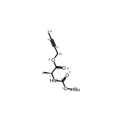 C[C@H](NC(=O)OC(C)(C)C)C(=O)OCC#CI